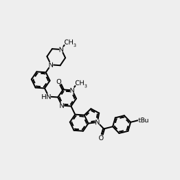 CN1CCN(c2cccc(Nc3nc(-c4cccc5c4ccn5C(=O)c4ccc(C(C)(C)C)cc4)cn(C)c3=O)c2)CC1